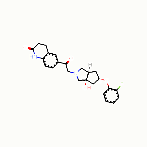 O=C1CCc2cc(C(=O)CN3C[C@@H]4C[C@@H](Oc5ccccc5F)C[C@]4(O)C3)ccc2N1